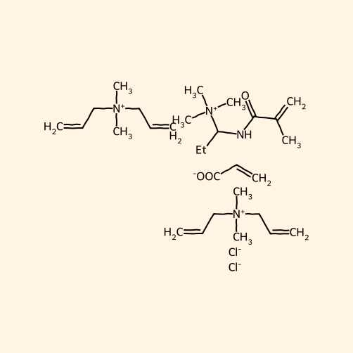 C=C(C)C(=O)NC(CC)[N+](C)(C)C.C=CC(=O)[O-].C=CC[N+](C)(C)CC=C.C=CC[N+](C)(C)CC=C.[Cl-].[Cl-]